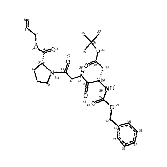 C=CCOC(=O)[C@H]1CCCN1C(=O)CNC(=O)[C@H](CC(=O)OC(C)(C)C)NC(=O)OCc1ccccc1